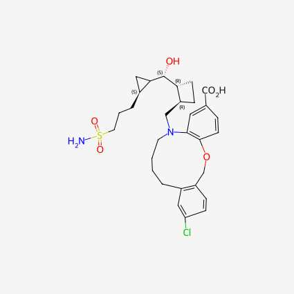 NS(=O)(=O)CCC[C@H]1CC1[C@H](O)[C@@H]1CC[C@H]1CN1CCCCc2cc(Cl)ccc2COc2ccc(C(=O)O)cc21